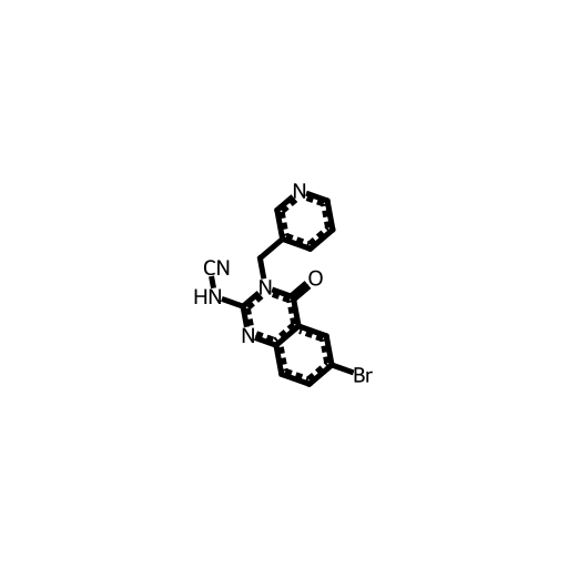 N#CNc1nc2ccc(Br)cc2c(=O)n1Cc1cccnc1